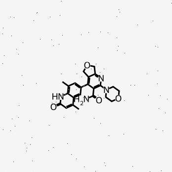 Cc1cc(=O)[nH]c2c(C)cc(-c3c4c(nc(N5CCOCC5)c3C(N)=O)COC4)cc12